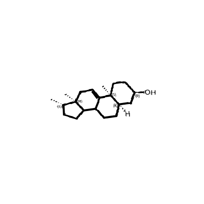 C[C@H]1CCC2C3CC[C@@H]4C[C@H](O)CC[C@]4(C)C3=CC[C@@]21C